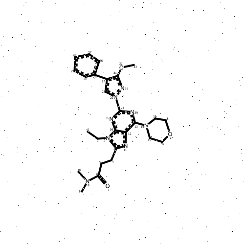 CCn1c(CCC(=O)N(C)C)nc2c(N3CCOCC3)nc(-n3cc(-c4ccccc4)c(OC)n3)nc21